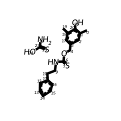 Cc1cc(COC(=S)NCCc2ccccc2)cc(C)c1O.NC(O)=S